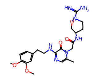 COc1ccc(CCNc2ncc(C)n(CC(=O)NC3CCN(C(=N)N)OC3)c2=O)cc1OC